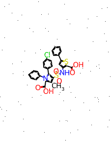 Cc1c(S(=O)(=O)Nc2cc(-c3ccccc3)sc2C(=O)O)c(-c2ccc(Cl)cc2)n(-c2ccccc2)c1C(=O)O